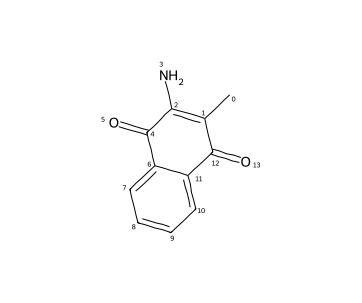 CC1=C(N)C(=O)c2ccccc2C1=O